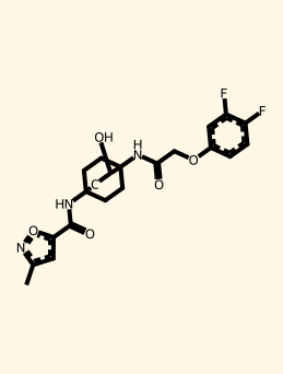 Cc1cc(C(=O)NC23CCC(NC(=O)COc4ccc(F)c(F)c4)(CC2)C(O)C3)on1